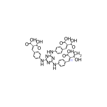 C=C(O)/C(=C/c1ccc(Nc2nc(Nc3ccc(C=C(C(=O)O)C(=O)O)cc3)nc(Nc3ccc(C=C(C(=O)O)C(=O)O)cc3)n2)cc1)C(=O)O